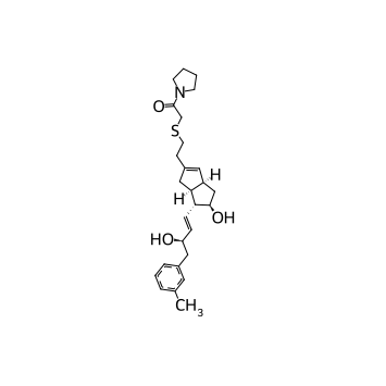 Cc1cccc(C[C@@H](O)/C=C/[C@@H]2[C@H]3CC(CCSCC(=O)N4CCCC4)=C[C@H]3C[C@H]2O)c1